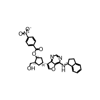 O=C(O[C@H]1C[C@H](c2coc3c(N[C@H]4CCc5ccccc54)ncnc23)C[C@H]1CO)c1ccc([N+](=O)[O-])cc1